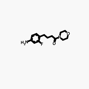 Nc1ccc(CCCC(=O)N2CCOCC2)c(F)c1